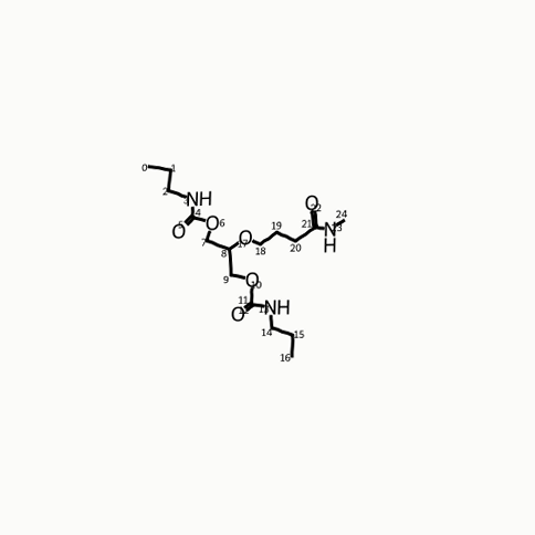 CCCNC(=O)OCC(COC(=O)NCCC)OCCCC(=O)NC